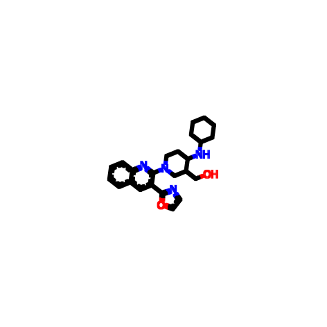 OCC1CN(c2nc3ccccc3cc2-c2ncco2)CCC1NC1CCCCC1